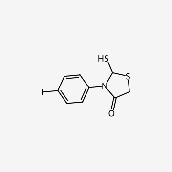 O=C1CSC(S)N1c1ccc(I)cc1